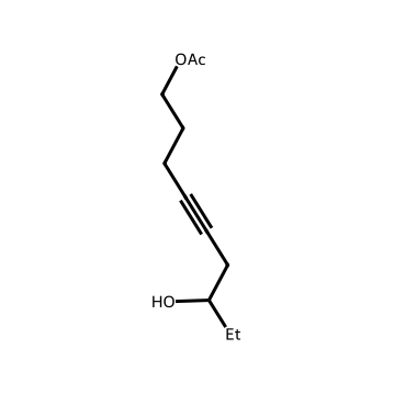 CCC(O)CC#CCCCOC(C)=O